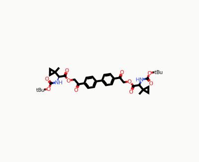 CC(C)(C)OC(=O)NC(C(=O)OCC(=O)c1ccc(-c2ccc(C(=O)COC(=O)[C@@H](NC(=O)OC(C)(C)C)C3(C)CC3)cc2)cc1)C1(C)CC1